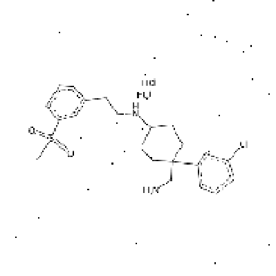 CS(=O)(=O)c1cccc(CCNC2CCC(CN)(c3cccc(Cl)c3)CC2)c1.Cl.Cl